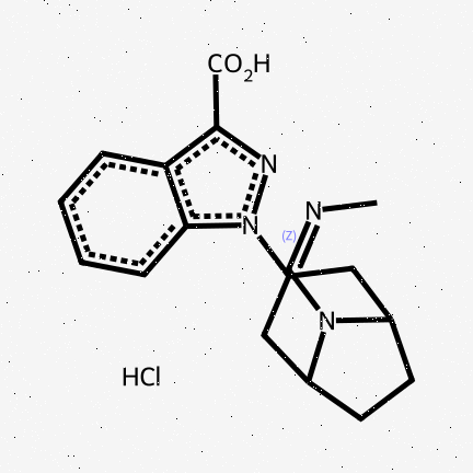 C/N=C\N1C2CCC1CC(n1nc(C(=O)O)c3ccccc31)C2.Cl